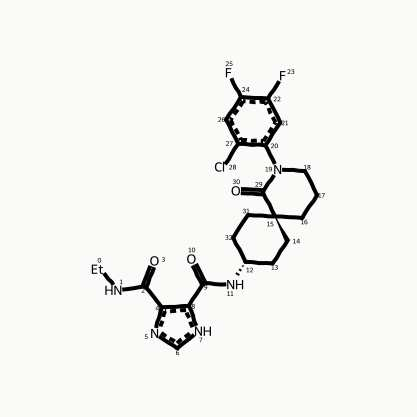 CCNC(=O)c1nc[nH]c1C(=O)N[C@H]1CC[C@@]2(CCCN(c3cc(F)c(F)cc3Cl)C2=O)CC1